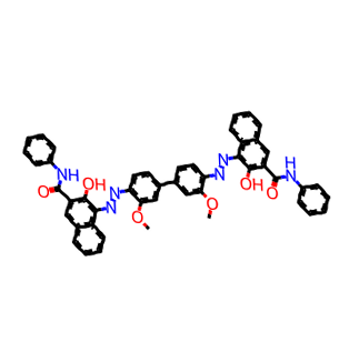 COc1cc(-c2ccc(N=Nc3c(O)c(C(=O)Nc4ccccc4)cc4ccccc34)c(OC)c2)ccc1N=Nc1c(O)c(C(=O)Nc2ccccc2)cc2ccccc12